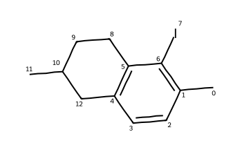 Cc1ccc2c(c1I)CCC(C)C2